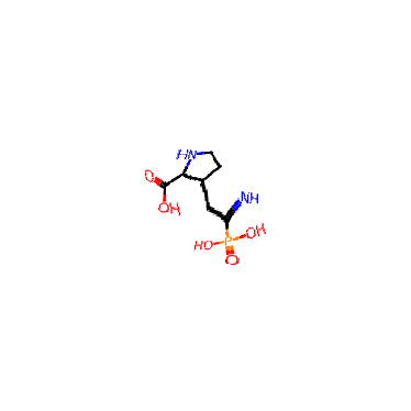 N=C(CC1CCNC1C(=O)O)P(=O)(O)O